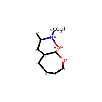 CC(CC1CCCCOC1)N(O)C(=O)O